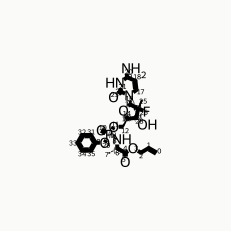 C=CCOC(=O)[C@H](C)N[P@](=O)(OC[C@H]1O[C@@H](N2C=CC(N)NC2=O)[C@](C)(F)[C@@H]1O)Oc1ccccc1